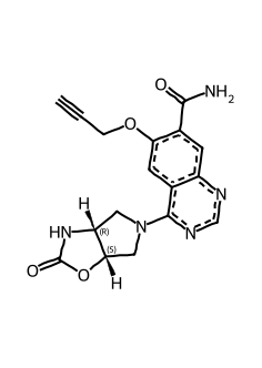 C#CCOc1cc2c(N3C[C@@H]4OC(=O)N[C@@H]4C3)ncnc2cc1C(N)=O